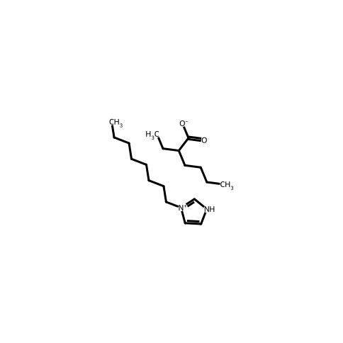 CCCCC(CC)C(=O)[O-].CCCCCCCC[n+]1cc[nH]c1